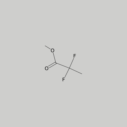 COC(=O)C(C)(F)F